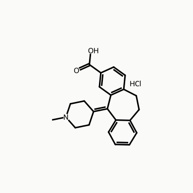 CN1CCC(=C2c3ccccc3CCc3ccc(C(=O)O)cc32)CC1.Cl